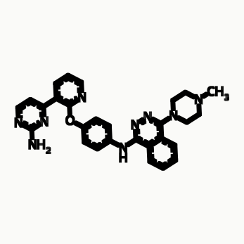 CN1CCN(c2nnc(Nc3ccc(Oc4ncccc4-c4ccnc(N)n4)cc3)c3ccccc23)CC1